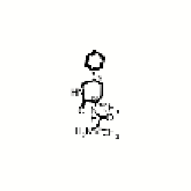 C[C@H](N)C(=O)N[C@@]1(C)CC[C@@H](c2ccccc2)CNC1=O